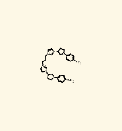 Nc1ccc(N2CCC(n3cc[n+](CCCn4cc[n+](C5CCN(c6ccc(N)cc6)C5)c4)c3)C2)cc1